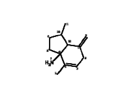 C=C1CC=C(C)C2(N)CCC(C)C12